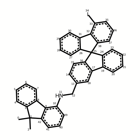 CC1(C)c2ccccc2-c2c(NCc3ccc4c(c3)-c3ccccc3C43c4ccccc4-c4c(I)cccc43)cccc21